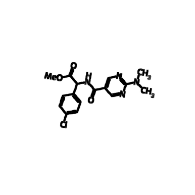 COC(=O)C(NC(=O)c1cnc(N(C)C)nc1)c1ccc(Cl)cc1